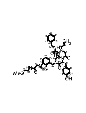 C=CCN1CC(=O)N2[C@@H](Cc3ccc(O)cc3)C(=O)N(Cc3cccc4c3nnn4CC(=O)NCCOC)C[C@@H]2N1C(=O)NCc1ccccc1